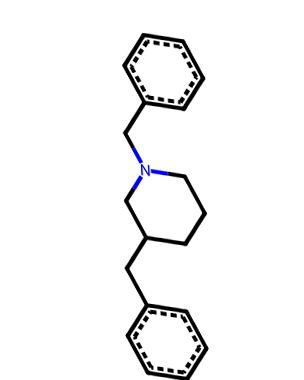 c1ccc(CC2CCCN(Cc3ccccc3)C2)cc1